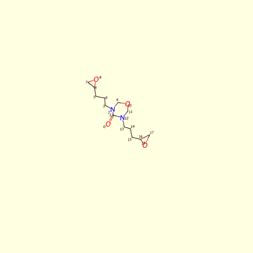 O=C1N(CCCC2CO2)COCN1CCCC1CO1